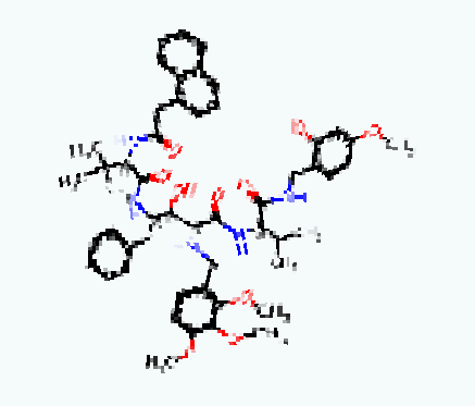 COc1ccc(CNC(=O)[C@@H](NC(=O)[C@H](NCc2ccc(OC)c(OC)c2OC)[C@H](O)[C@H](Cc2ccccc2)NC(=O)[C@@H](NC(=O)Cc2cccc3ccccc23)C(C)(C)C)C(C)C)c(O)c1